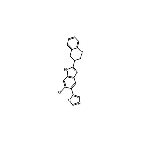 Clc1cc2[nH]c(C3COc4ccccc4C3)nc2cc1-c1cnco1